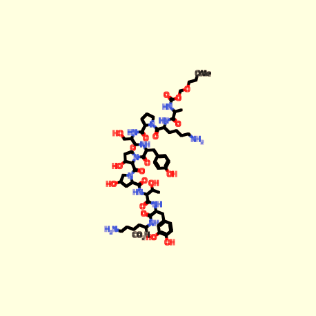 COCCOCOC(=O)NC(C)C(=O)NC(CCCCN)C(=O)N1CCCC1C(=O)NC(CO)C(=O)NC(Cc1ccc(O)cc1)C(=O)N1CCC(O)C1C(=O)N1CC(O)CC1C(=O)NC(C(=O)NC(Cc1ccc(O)c(O)c1)C(=O)NC(CCCCN)C(=O)O)C(C)O